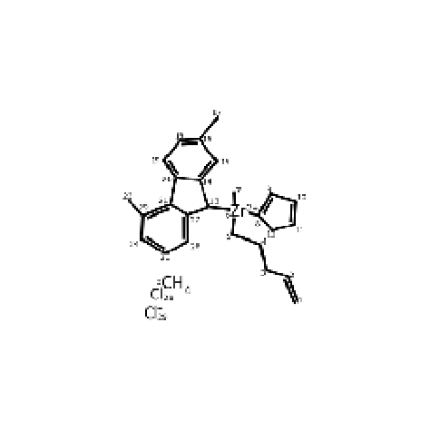 C.C=CCC[CH2][Zr+2]([CH3])([C]1=CC=CC1)[CH]1c2cc(C)ccc2-c2c(C)cccc21.[Cl-].[Cl-]